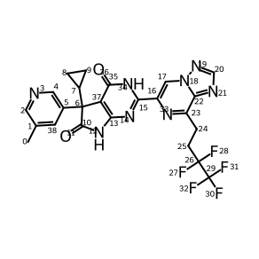 Cc1cncc(C2(C3CC3)C(=O)Nc3nc(-c4cn5ncnc5c(CCC(F)(F)C(F)(F)F)n4)[nH]c(=O)c32)c1